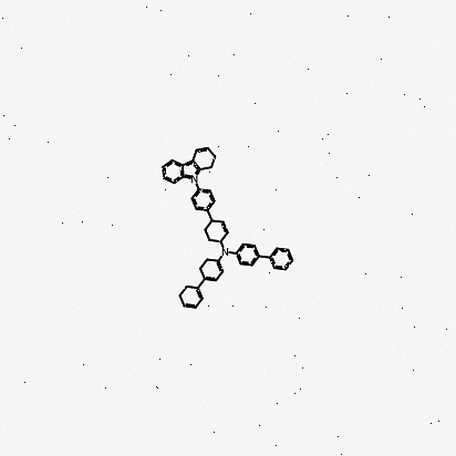 C1=CCCC(C2=CC=C(N(c3ccc(-c4ccccc4)cc3)C3C=CC(c4ccc(-n5c6c(c7ccccc75)C=CCC6)cc4)CC3)CC2)=C1